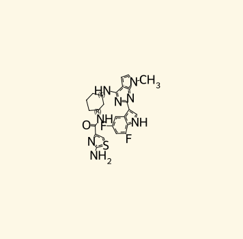 Cn1ccc2c(N[C@H]3CCC[C@@H](NC(=O)c4csc(N)n4)C3)nc(-c3c[nH]c4c(F)cc(F)cc34)nc21